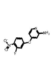 Nc1cc(Oc2ccc([N+](=O)[O-])c(F)c2)ccn1